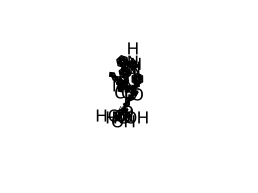 CCCCc1nc(Cl)c(C(=O)N[C@@H](Cc2ccccc2)C(=O)OCCCC[C@H](CON(O)O)ON(O)O)n1Cc1ccc(-c2ccccc2-c2nnn[nH]2)cc1